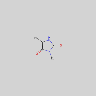 CCN1C(=O)NC(C(C)C)C1=O